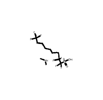 CNC.O=S(=O)(O)C(F)(F)C(F)(F)CCCCCCC(F)(F)F